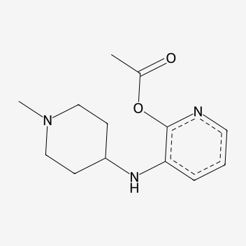 CC(=O)Oc1ncccc1NC1CCN(C)CC1